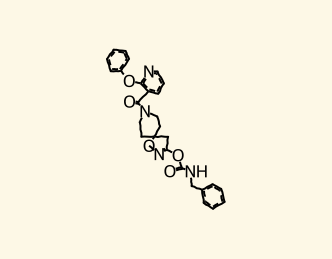 O=C(NCc1ccccc1)OC1=NOC2(CCN(C(=O)c3cccnc3Oc3ccccc3)CC2)C1